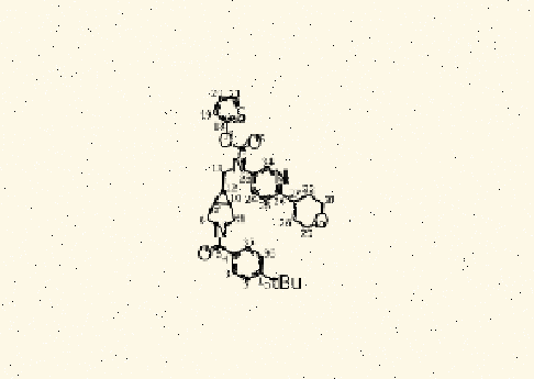 CC(C)(C)c1ccc(C(=O)N2CC3C(C2)C3CN(C(=O)Oc2cccs2)c2ccc(C3=CCOCC3)nc2)cc1